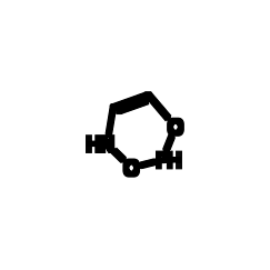 c1co[pH]o[nH]1